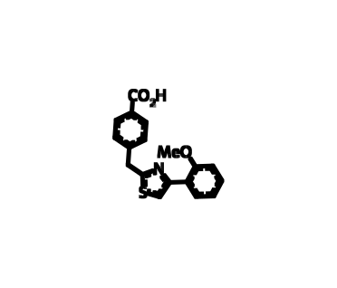 COc1ccccc1-c1csc(Cc2ccc(C(=O)O)cc2)n1